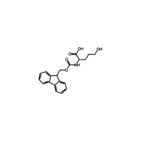 O=C(NC(CCCO)C(=O)O)OCC1c2ccccc2-c2ccccc21